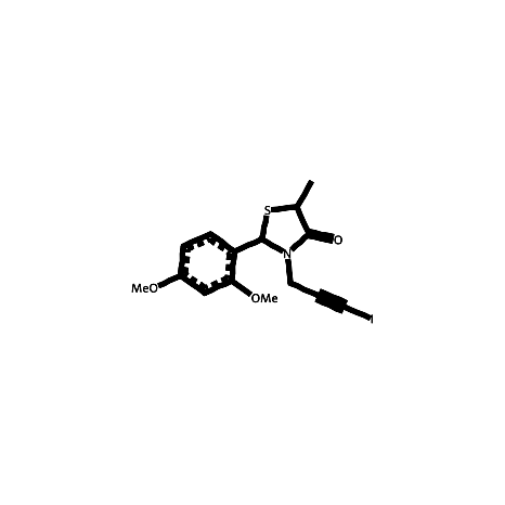 COc1ccc(C2SC(C)C(=O)N2CC#CI)c(OC)c1